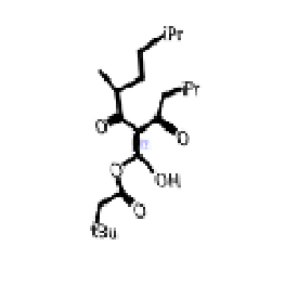 CC(C)CCC(C)C(=O)/C(C(=O)CC(C)C)=C(/O)OC(=O)CC(C)(C)C